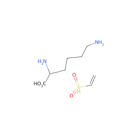 C=C[SH](=O)=O.NCCCCC(N)C(=O)O